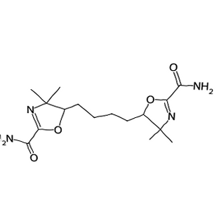 CC1(C)N=C(C(N)=O)OC1CCCCC1OC(C(N)=O)=NC1(C)C